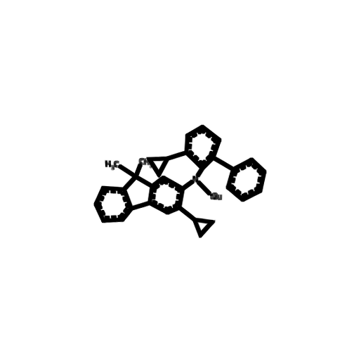 CC1(C)c2ccccc2-c2cc(C3CC3)c(N(c3c(-c4ccccc4)cccc3C3CC3)C(C)(C)C)cc21